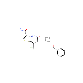 CNC(=O)c1csc2c(C(F)(F)F)cc(O[C@H]3C[C@@H](OCc4ccccc4)C3)nc12